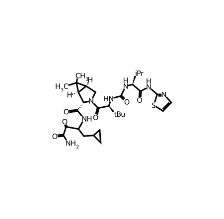 CC(C)[C@H](NC(=O)N[C@H](C(=O)N1C[C@H]2[C@@H]([C@H]1C(=O)NC(CC1CC1)C(=O)C(N)=O)C2(C)C)C(C)(C)C)C(=O)Nc1nccs1